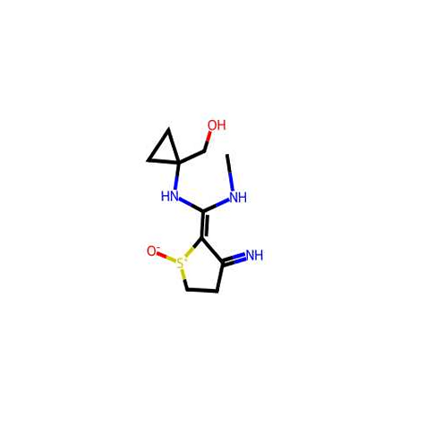 CN/C(NC1(CO)CC1)=C1\C(=N)CC[S+]1[O-]